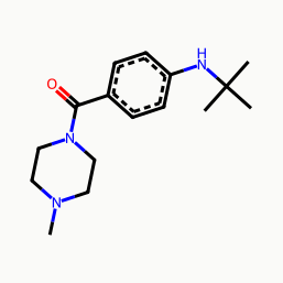 CN1CCN(C(=O)c2ccc(NC(C)(C)C)cc2)CC1